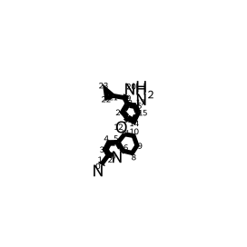 N#Cc1ccc2c(n1)CCCC2Oc1ccc(N)c(C(=N)C2CC2)c1